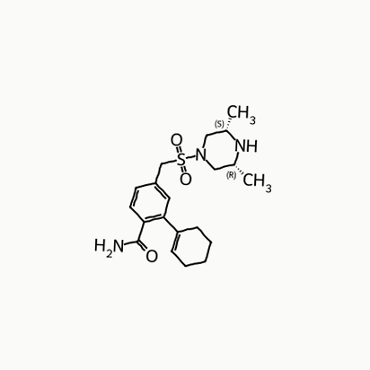 C[C@@H]1CN(S(=O)(=O)Cc2ccc(C(N)=O)c(C3=CCCCC3)c2)C[C@H](C)N1